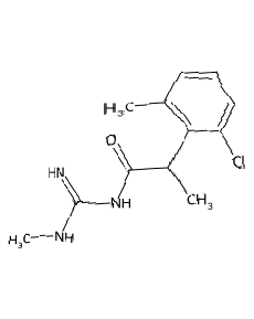 CNC(=N)NC(=O)C(C)c1c(C)cccc1Cl